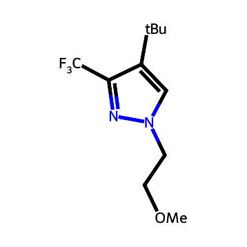 COCCn1cc(C(C)(C)C)c(C(F)(F)F)n1